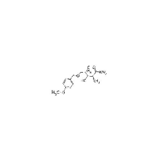 COc1ccc(COCC(C)C(O)[C@H](C)C(N)=O)cc1